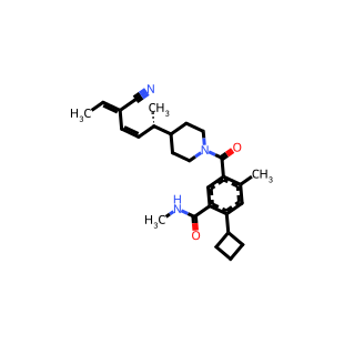 C/C=C(C#N)\C=C/[C@H](C)C1CCN(C(=O)c2cc(C(=O)NC)c(C3CCC3)cc2C)CC1